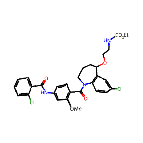 CCOC(=O)NCCOC1CCCN(C(=O)c2ccc(NC(=O)c3ccccc3Cl)cc2OC)c2ccc(Cl)cc21